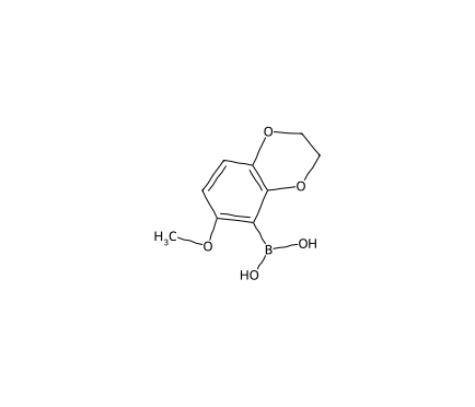 COc1ccc2c(c1B(O)O)OCCO2